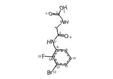 O=C(O)NCC(=O)Nc1cccc(Br)c1F